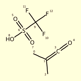 CC(C)=C=O.O=S(=O)(O)C(F)(F)F